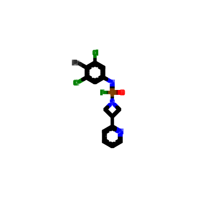 CC(C)c1c(Cl)cc(N=S(=O)(F)N2CC(c3ccccn3)C2)cc1Cl